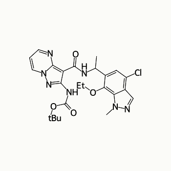 CCOc1c(C(C)NC(=O)c2c(NC(=O)OC(C)(C)C)nn3cccnc23)cc(Cl)c2cnn(C)c12